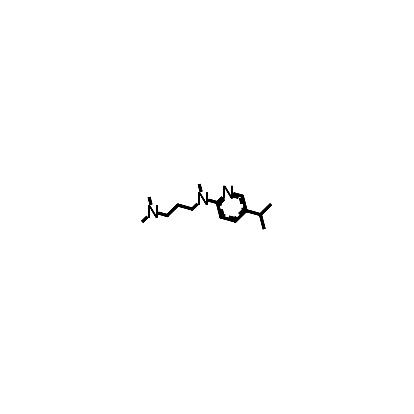 CC(C)c1ccc(N(C)CCCN(C)C)nc1